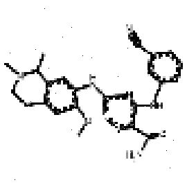 COc1cc2c(cc1Nc1nnc(C(N)=O)c(Nc3cccc(C#N)c3)n1)C(C)N(C)CC2